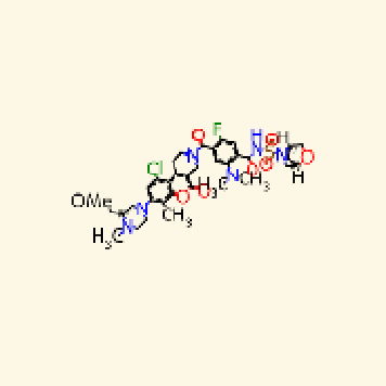 COC[C@H]1CN(c2cc(Cl)c3c4c(c(=O)oc3c2C)CN(C(=O)c2cc(N(C)C)c(C(=O)NS(=O)(=O)N3C[C@H]5C[C@@H]3CO5)cc2F)CC4)CCN1C